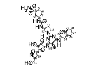 NS(=O)(=O)c1cccc(NC(=O)NC2CCN(c3nc(NC(CO)Cc4ccccc4)c4ncn(C5OC(c6cc(CO)no6)C(O)C5O)c4n3)C2)c1